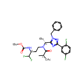 CC(=O)O[C@@H](C)C(=O)N(CC[C@H](NC(=O)OC(C)(C)C)C(F)F)[C@@H](c1nc(-c2cc(F)ccc2F)nn1Cc1ccccc1)C(C)(C)C